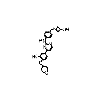 N#Cc1cc(-c2ccnc(Nc3ccc(CN4CC(O)C4)cc3)n2)ccc1OC1CCOCC1